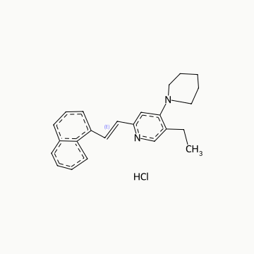 CCc1cnc(/C=C/c2cccc3ccccc23)cc1N1CCCCC1.Cl